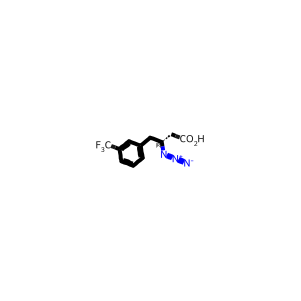 [N-]=[N+]=N[C@@H](CC(=O)O)Cc1cccc(C(F)(F)F)c1